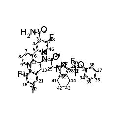 NC(=O)c1cc(-c2cccnc2C(Cc2cc(F)cc(F)c2)NC(=O)Cn2nc(C(F)(F)Oc3ccccc3)c3c2CCCC3)ccc1F